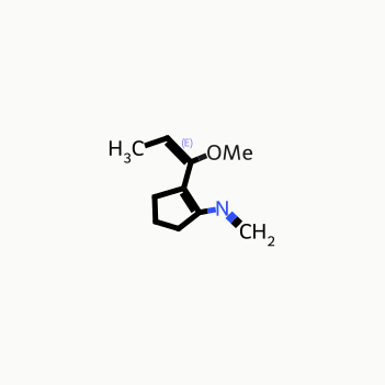 C=NC1=C(/C(=C\C)OC)CCC1